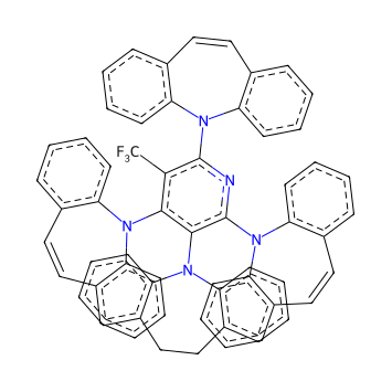 FC(F)(F)c1c(N2c3ccccc3C=Cc3ccccc32)nc(N2c3ccccc3C=Cc3ccccc32)c(N2c3ccccc3CCc3ccccc32)c1N1c2ccccc2C=Cc2ccccc21